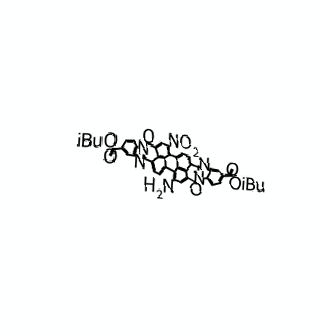 CC(C)COC(=O)c1ccc2c(c1)nc1c3ccc4c5c([N+](=O)[O-])cc6c(=O)n7c8ccc(C(=O)OCC(C)C)cc8nc7c7ccc(c8c(N)cc(c(=O)n21)c3c48)c5c67